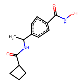 CC(NC(=O)C1CCC1)c1ccc(C(=O)NO)cc1